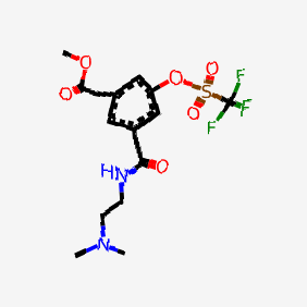 COC(=O)c1cc(OS(=O)(=O)C(F)(F)F)cc(C(=O)NCCN(C)C)c1